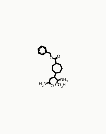 NC(=O)CC(C1CCCC(C(=O)OCc2ccccc2)CC1)C(N)C(=O)O